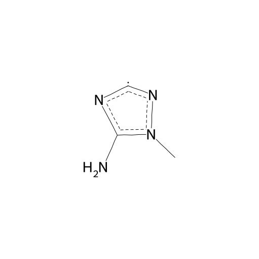 Cn1n[c]nc1N